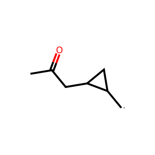 [CH2]C1CC1CC(C)=O